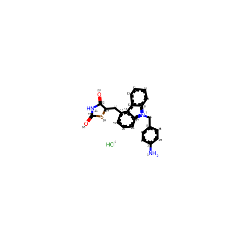 Cl.Nc1ccc(Cn2c3ccccc3c3c(CC4SC(=O)NC4=O)cccc32)cc1